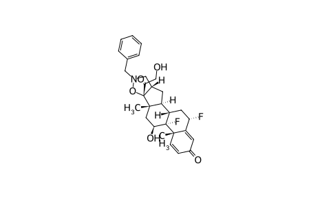 C[C@]12C=CC(=O)C=C1[C@@H](F)C[C@H]1[C@@H]3C[C@H]4CN(Cc5ccccc5)O[C@@]4(C(=O)CO)[C@@]3(C)C[C@H](O)[C@@]12F